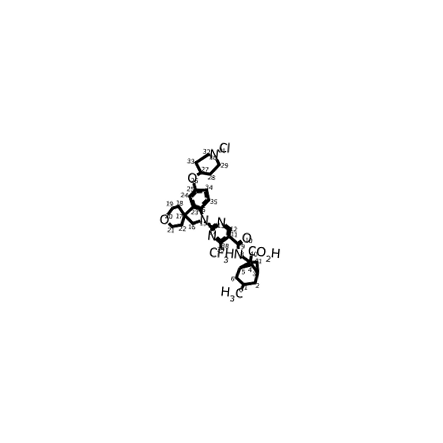 CC1CC2CC(C1)C(NC(=O)c1cnc(N3CC4(CCOCC4)c4cc(OC5CCN(Cl)CC5)ccc43)nc1C(F)(F)F)(C(=O)O)C2